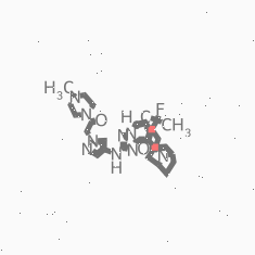 CN1CCN(C(=O)Cn2cc(Nc3nc4c(C5=CC6CCC(C5)N6C(=O)CCC(C)(C)F)cccn4n3)cn2)CC1